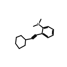 CN(C)c1ccccc1C#CC1CCCCC1